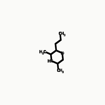 CCCC1[N]CC(C)NC1C